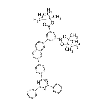 CC1(C)OB(c2cc(B3OC(C)(C)C(C)(C)O3)cc(-c3ccc4ccc(-c5ccc(-c6nc(-c7ccccc7)nc(-c7ccccc7)n6)cc5)cc4c3)c2)OC1(C)C